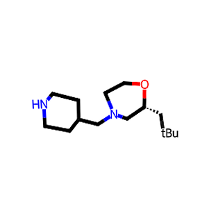 CC(C)(C)C[C@@H]1CN(CC2CCNCC2)CCO1